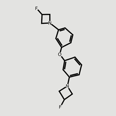 FC1CN(c2cccc(Oc3cccc(N4CC(F)C4)c3)c2)C1